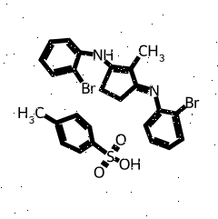 CC1=C(Nc2ccccc2Br)CCC1=Nc1ccccc1Br.Cc1ccc(S(=O)(=O)O)cc1